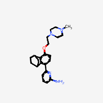 CN1CCN(CCOc2ccc(-c3cccc(N)n3)c3c2C2CCC3CC2)CC1